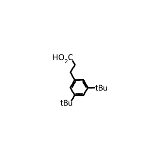 CC(C)(C)c1cc(CCC(=O)O)cc(C(C)(C)C)c1